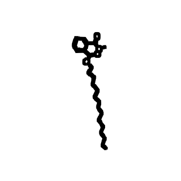 CCCCCCCCCCCCCCCOC(=O)c1ccccc1C(=O)OC